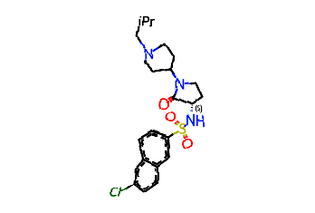 CC(C)CN1CCC(N2CC[C@H](NS(=O)(=O)c3ccc4cc(Cl)ccc4c3)C2=O)CC1